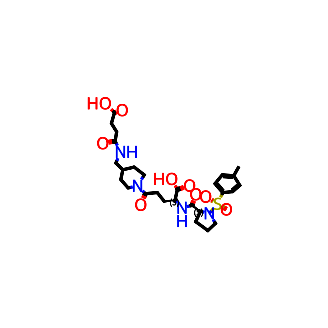 Cc1ccc(S(=O)(=O)N2CCC[C@H]2C(=O)N[C@@H](CCC(=O)N2CCC(CNC(=O)CCC(=O)O)CC2)C(=O)O)cc1